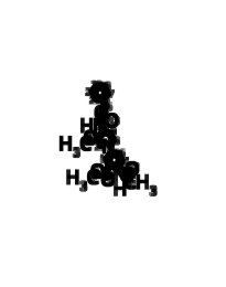 COC(=O)c1cc(N2CCC(NC(=O)OCc3ccccc3)C(OC)C2)ccc1NC(C)=O